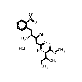 CCC(C)[C@H](NC(=O)CC(O)[C@@H](N)Cc1ccccc1[N+](=O)[O-])C(=O)OC.Cl